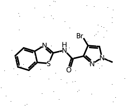 Cn1cc(Br)c(C(=O)Nc2nc3ccccc3s2)n1